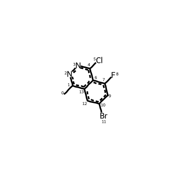 Cc1nnc(Cl)c2c(F)cc(Br)cc12